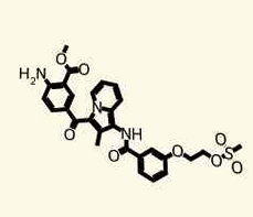 COC(=O)c1cc(C(=O)c2c(C)c(NC(=O)c3cccc(OCCOS(C)(=O)=O)c3)c3ccccn23)ccc1N